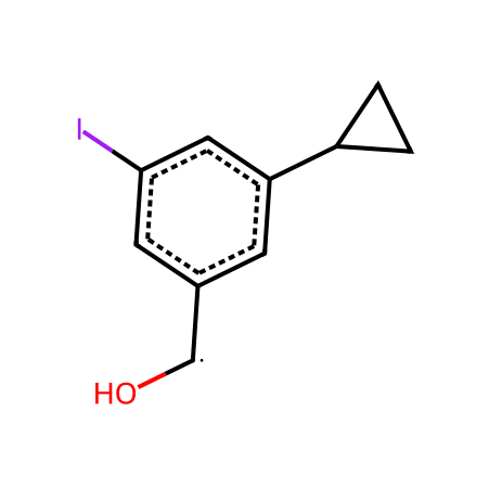 O[CH]c1cc(I)cc(C2CC2)c1